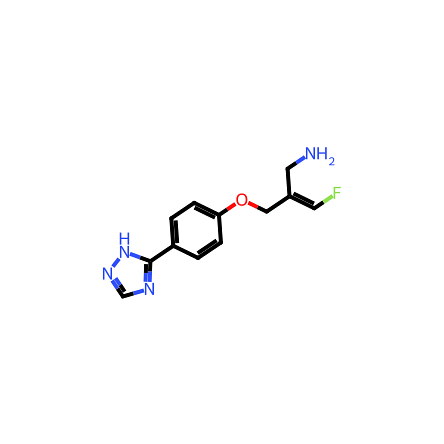 NC/C(=C\F)COc1ccc(-c2ncn[nH]2)cc1